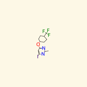 Cc1nc(I)cc(OC2CCC(C(F)(F)F)CC2)n1